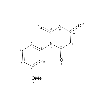 COc1cccc(N2C(=O)CC(=O)NC2=S)c1